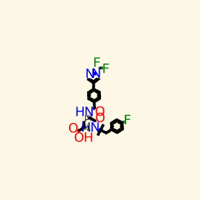 C[C@@H](C[C@H](NC(=O)c1ccc(-c2cnn(C(F)F)c2)cc1)C(=O)NC(C)(C)Cc1ccc(F)cc1)C(=O)O